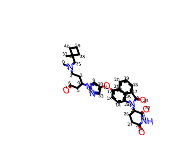 CN(CCC(CC=O)n1cc(Oc2ccc3c4c(cccc24)C(=O)N3C2CCC(=O)NC2=O)cn1)CC1(C)CCC1